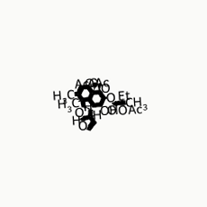 CC[C@@](C)(OC(C)=O)C(=O)O[C@H]1[C@H](O)C[C@@H]2[C@@](C)([C@@H]3C[C@H]4C=CO[C@H]4O3)C(C)=C[C@H](OC(C)=O)[C@@]2(COC(C)=O)[C@@]12CO2